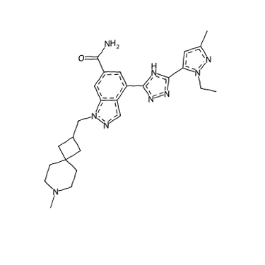 CCn1nc(C)cc1-c1nnc(-c2cc(C(N)=O)cc3c2cnn3CC2CC3(CCN(C)CC3)C2)[nH]1